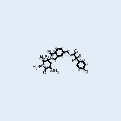 BC1CC(B)(N2Cc3cc(CNC(=O)C(F)(F)c4ccc(Cl)cc4)ccc3C2=O)C(=O)N(B)C1=O